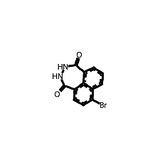 O=C1NNC(=O)c2ccc(Br)c3cccc1c23